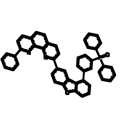 O=P(c1ccccc1)(c1ccccc1)c1cccc(-c2cccc3oc4ccc(-c5ccc6ccc7ccc(-c8ccccc8)nc7c6n5)cc4c23)c1